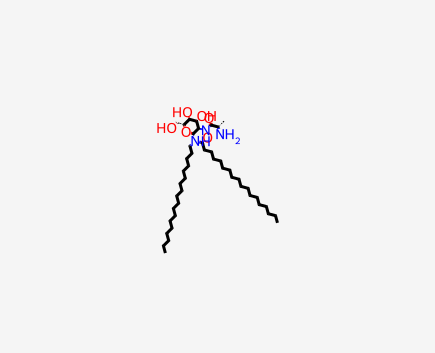 CCCCCCCCCCCCCCCCCCN(C(=O)CCCCCCCCCCCCCCCCC)[C@@H]1O[C@H](CO)[C@H](O)[C@H](O)[C@H]1NC(=O)[C@H](C)N